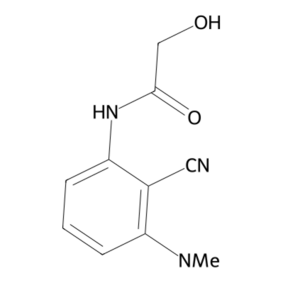 CNc1cccc(NC(=O)CO)c1C#N